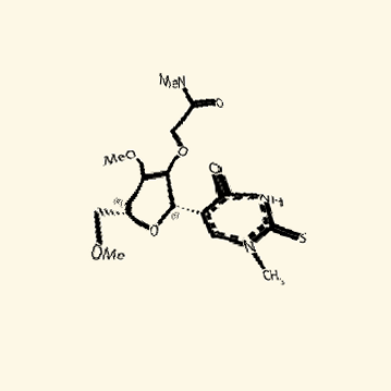 CNC(=O)COC1C(OC)[C@@H](COC)O[C@H]1c1cn(C)c(=S)[nH]c1=O